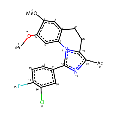 COc1cc2c(cc1OC(C)C)-n1c(-c3ccc(F)c(Cl)c3)nc(C(C)=O)c1CC2